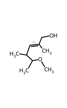 COC(C)C(C)/C=C(\C)CO